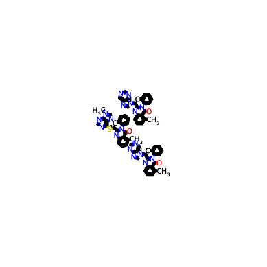 Cc1ccccc1-n1c(CSc2ncnc3c2ncn3C)nc2cccc(C)c2c1=O.Cc1ccccc1-n1c(Cn2cnc3cncnc32)nc2cccc(C)c2c1=O.Cc1ccccc1-n1c(Cn2cnc3ncncc32)nc2cccc(C)c2c1=O